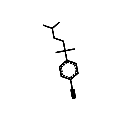 C#Cc1ccc(C(C)(C)CCC(C)C)cc1